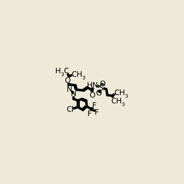 CC(C)CCS(=O)(=O)NC(=O)C=Cc1cc(OC(C)C)nn1Cc1ccc(C(F)(F)F)cc1Cl